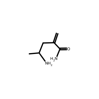 C=C(CC(C)N)C(N)=O